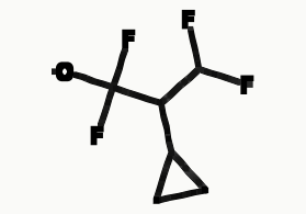 [O]C(F)(F)C(C(F)F)C1CC1